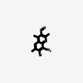 Cc1cc2c(C)c(N=O)c(C)nc2c(P)c1Br